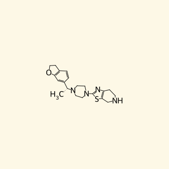 C[C@H](c1ccc2c(c1)OCC2)N1CCN(c2nc3c(s2)CNCC3)CC1